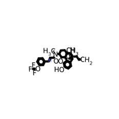 C=CCN1CC[C@]23c4c5ccc(O)c4OC2C(N(C)C(=O)/C=C/c2cccc(OC(F)(F)F)c2)CC[C@@]3(C)[C@H]1C5